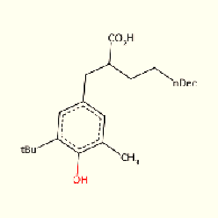 CCCCCCCCCCCCC(Cc1cc(C)c(O)c(C(C)(C)C)c1)C(=O)O